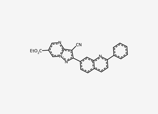 CCOC(=O)c1cnc2c(C#N)c(-c3ccc4ccc(-c5ccccc5)nc4c3)nn2c1